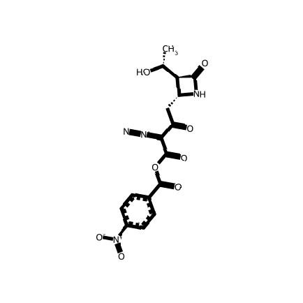 C[C@@H](O)[C@H]1C(=O)N[C@@H]1CC(=O)C(=[N+]=[N-])C(=O)OC(=O)c1ccc([N+](=O)[O-])cc1